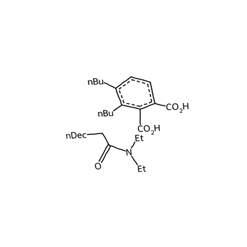 CCCCCCCCCCCC(=O)N(CC)CC.CCCCc1ccc(C(=O)O)c(C(=O)O)c1CCCC